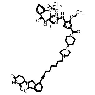 CCOc1cc(C(=O)N2CCC(N3CCN(CCCCCCC#Cc4cccc5c4CN(C4CCC(=O)NC4=O)C5=O)CC3)CC2)ccc1Nc1ncc2c(n1)N(S(C)(=O)=O)c1ccccc1C(=O)N2C